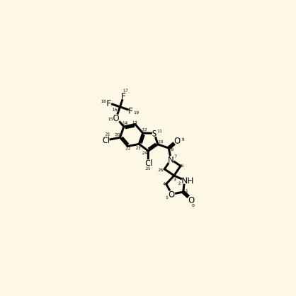 O=C1NC2(CO1)CN(C(=O)c1sc3cc(OC(F)(F)F)c(Cl)cc3c1Cl)C2